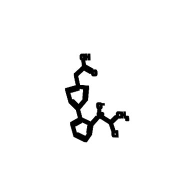 CC(Cl)[S+]([O-])c1ccccc1-c1ccc(CC(=O)O)cc1